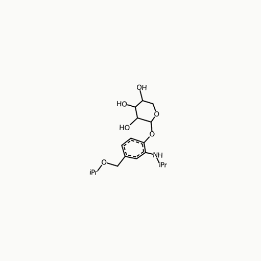 CC(C)Nc1cc(COC(C)C)ccc1OC1OCC(O)C(O)C1O